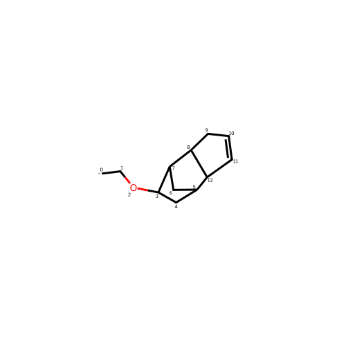 [CH2]COC1CC2CC1C1CC=CC21